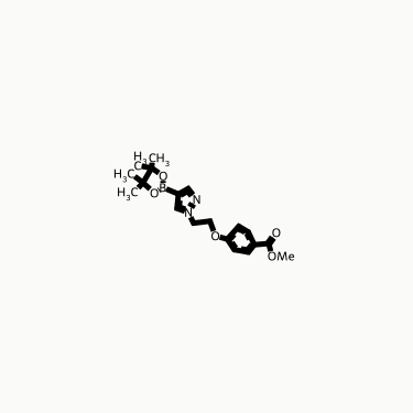 COC(=O)c1ccc(OCCn2cc(B3OC(C)(C)C(C)(C)O3)cn2)cc1